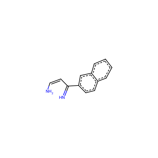 N=C(/C=C\N)c1ccc2ccccc2c1